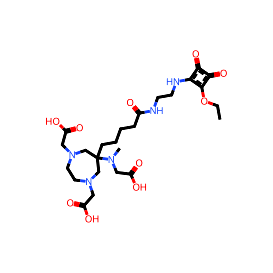 CCOc1c(NCCNC(=O)CCCCC2(N(C)CC(=O)O)CN(CC(=O)O)CCN(CC(=O)O)C2)c(=O)c1=O